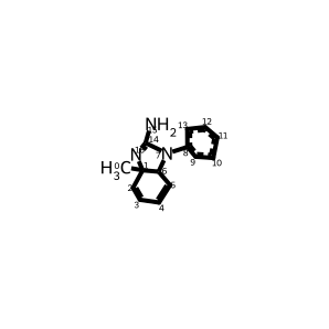 CC12C=CC=CC1N(c1ccccc1)C(N)=N2